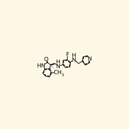 Cc1cccc2c1/C(=C\Nc1ccc(NCc3ccncc3)c(F)c1)C(=O)N2